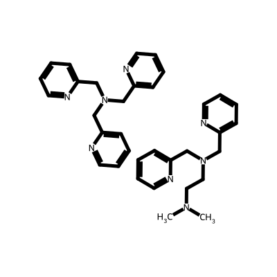 CN(C)CCN(Cc1ccccn1)Cc1ccccn1.c1ccc(CN(Cc2ccccn2)Cc2ccccn2)nc1